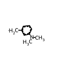 [CH2]c1cccc(N(C)C)c1